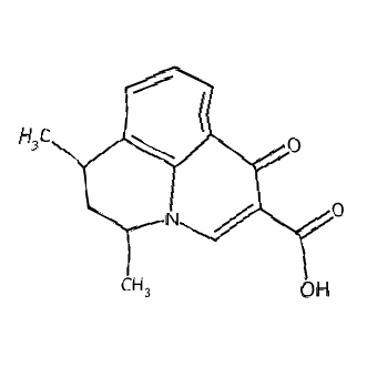 CC1CC(C)n2cc(C(=O)O)c(=O)c3cccc1c32